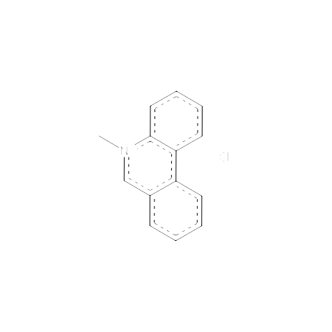 C[n+]1cc2ccccc2c2ccccc21.[Cl-]